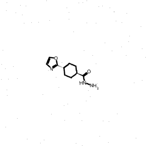 NNC(=O)[C@H]1CC[C@H](c2ncco2)CC1